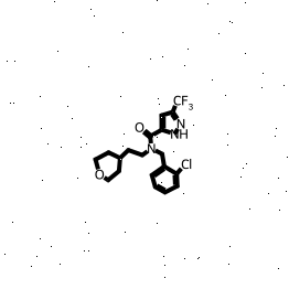 O=C(c1cc(C(F)(F)F)n[nH]1)N(CCC1CCOCC1)Cc1ccccc1Cl